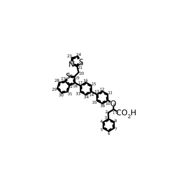 O=C(O)C(Cc1ccccc1)Oc1ccc(-c2ccc(-c3c(Cc4nccs4)sc4ccccc34)cc2)cc1